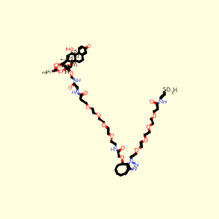 CCCC1O[C@@H]2C[C@H]3[C@@H]4CCC5=CC(=O)C=C[C@]5(C)[C@H]4[C@@H](O)C[C@]3(C)[C@]2(C(=O)COCNC(=O)CNC(=O)CCOCCOCCOCCOCCNC(=O)COC2CCCCCc3nnn(CCOCCOCCOCCOCCC(=O)NCCS(=O)(=O)O)c32)O1